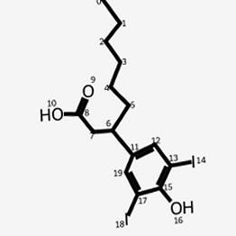 CCCCCCC(CC(=O)O)c1cc(I)c(O)c(I)c1